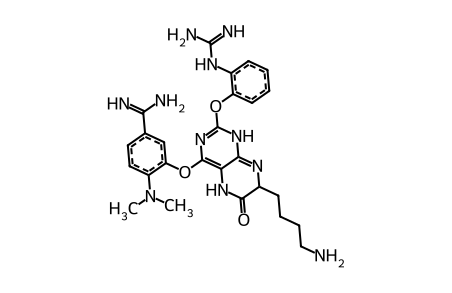 CN(C)c1ccc(C(=N)N)cc1OC1=C2NC(=O)C(CCCCN)N=C2NC(Oc2ccccc2NC(=N)N)=N1